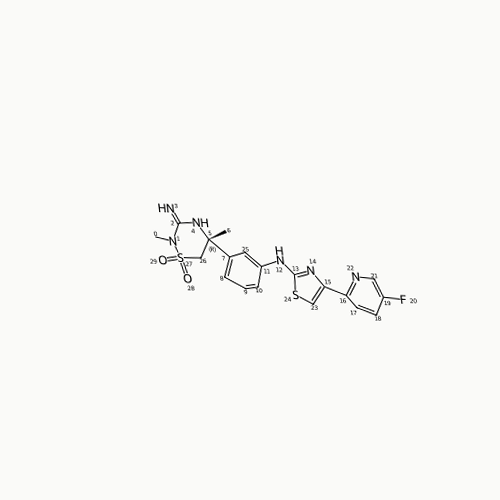 CN1C(=N)N[C@](C)(c2cccc(Nc3nc(-c4ccc(F)cn4)cs3)c2)CS1(=O)=O